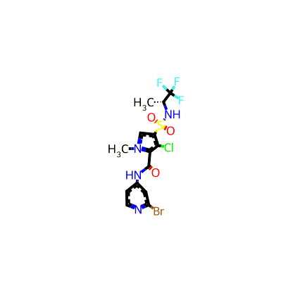 C[C@@H](NS(=O)(=O)c1cn(C)c(C(=O)Nc2ccnc(Br)c2)c1Cl)C(F)(F)F